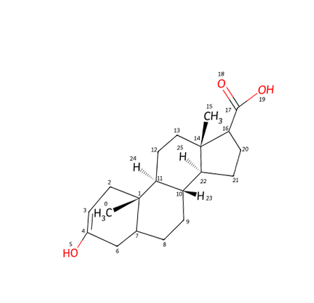 C[C@]12CC=C(O)CC1CC[C@@H]1[C@@H]2CC[C@]2(C)C(C(=O)O)CC[C@@H]12